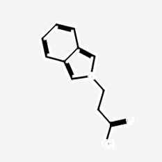 O=C(O)CCn1cc2ccccc2c1